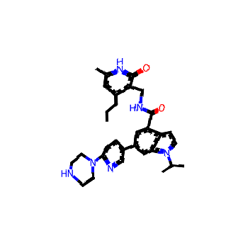 CCCc1cc(C)[nH]c(=O)c1CNC(=O)c1cc(-c2ccc(N3CCNCC3)nc2)cc2c1ccn2C(C)C